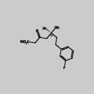 CCOC(=O)CC(=O)C[C@@](O)(CCc1cccc(F)c1)C(C)C